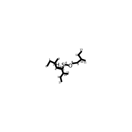 CCC(C)C=C([SiH2]OCCC(C)CC)C(C)CC